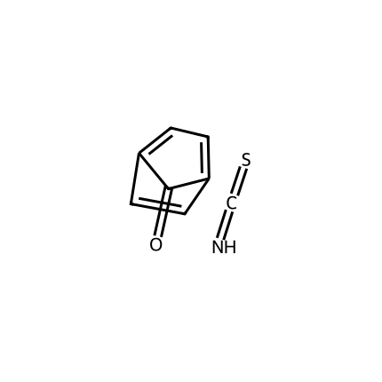 N=C=S.O=C1C2=CC=C1C=C2